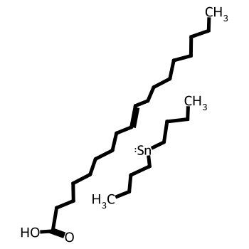 CCCCCCCCC=CCCCCCCCC(=O)O.CCC[CH2][Sn][CH2]CCC